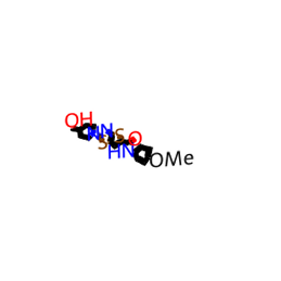 COc1ccc(NC(=O)c2cc3sc(N4CCC(CO)CC4)nc3s2)cc1